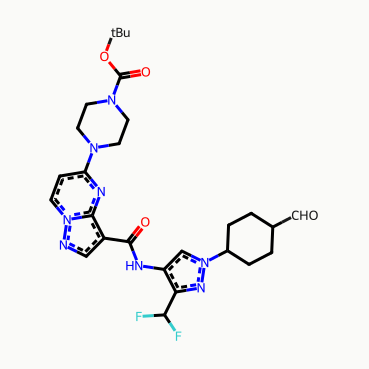 CC(C)(C)OC(=O)N1CCN(c2ccn3ncc(C(=O)Nc4cn(C5CCC(C=O)CC5)nc4C(F)F)c3n2)CC1